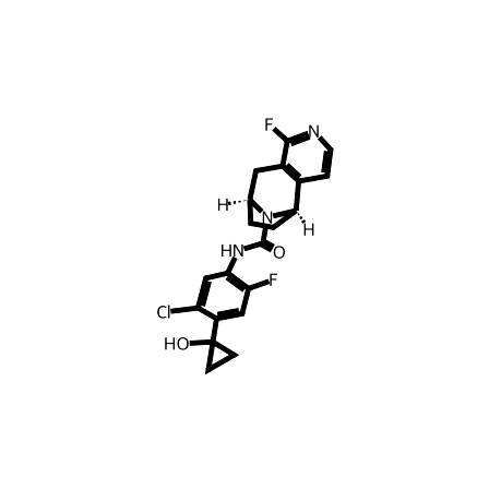 O=C(Nc1cc(Cl)c(C2(O)CC2)cc1F)N1[C@H]2CC[C@@H]1c1ccnc(F)c1C2